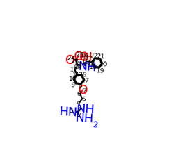 N=C(N)NCCCOc1ccc(C[C@H](NC(=O)c2ccccc2)C(=O)O)cc1